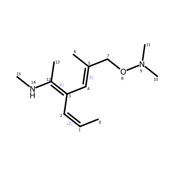 C\C=C/C(/C=C(\C)CON(C)C)=C(/C)NC